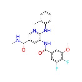 CNC(=O)c1cnc(Nc2ccccc2C)c(NC(=O)c2cc(F)c(F)c(OC)c2)c1